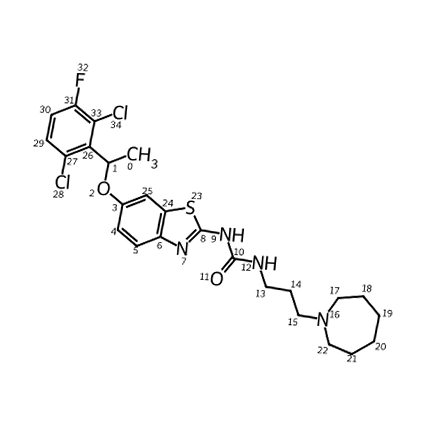 CC(Oc1ccc2nc(NC(=O)NCCCN3CCCCCC3)sc2c1)c1c(Cl)ccc(F)c1Cl